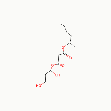 CCCCC(C)OC(=O)CC(=O)OC(O)CCO